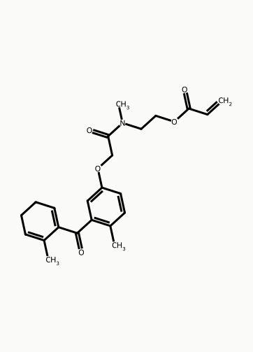 C=CC(=O)OCCN(C)C(=O)COc1ccc(C)c(C(=O)C2=CCCC=C2C)c1